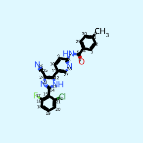 Cc1ccc(C(=O)Nc2ccc(-c3[nH]c(-c4c(F)cccc4Cl)nc3C#N)cn2)cc1